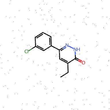 CCc1cc(-c2cccc(Cl)c2)n[nH]c1=O